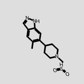 Cc1cc2cn[nH]c2cc1C1CCN(C[SH](=O)=O)CC1